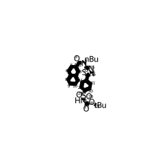 CCCCN(C(=O)c1ccc2ccccc2c1)c1nnc(-c2ccc(S(=O)(=O)NC(=O)OC(C)(C)C)cc2)s1